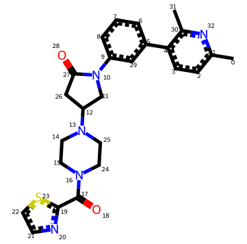 Cc1ccc(-c2cccc(N3CC(N4CCN(C(=O)c5nccs5)CC4)CC3=O)c2)c(C)n1